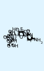 Nc1ccn([C@@H]2O[C@H](COP(=O)(O)OP(=O)(O)OP(=O)(O)O)[C@@H](O)[C@@]2(F)Cl)c(=O)n1